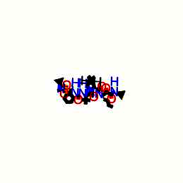 CCCC[C@H](NC(=O)[C@@H]1[C@@H]2[C@H](CN1C(=O)[C@@H](NC(=O)NC1([C@@H](C)S(=O)(=O)N(C)C3CC3)CCCCC1)C(C)(C)C)C2(C)C)C(=O)C(=O)NC1CC1